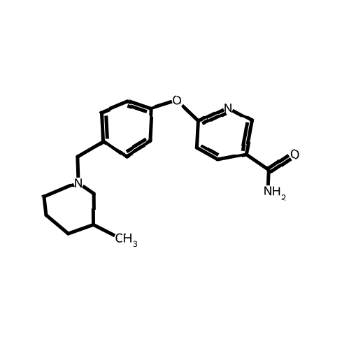 CC1CCCN(Cc2ccc(Oc3ccc(C(N)=O)cn3)cc2)C1